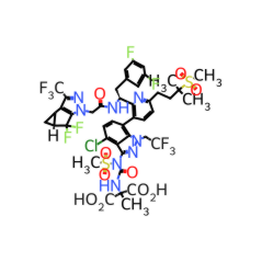 CC(NC(=O)N(c1nn(CC(F)(F)F)c2c(-c3ccc(CCC(C)(C)S(C)(=O)=O)nc3[C@H](Cc3cc(F)cc(F)c3)NC(=O)Cn3nc(C(F)(F)F)c4c3C(F)(F)[C@@H]3CC43)ccc(Cl)c12)S(C)(=O)=O)(C(=O)O)C(=O)O